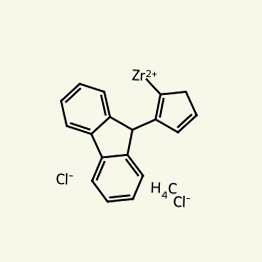 C.[Cl-].[Cl-].[Zr+2][C]1=C(C2c3ccccc3-c3ccccc32)C=CC1